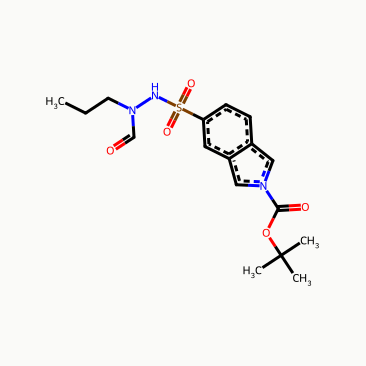 CCCN(C=O)NS(=O)(=O)c1ccc2cn(C(=O)OC(C)(C)C)cc2c1